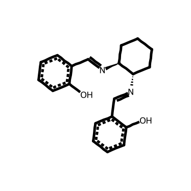 Oc1ccccc1/C=N/[C@H]1CCCC[C@@H]1/N=C/c1ccccc1O